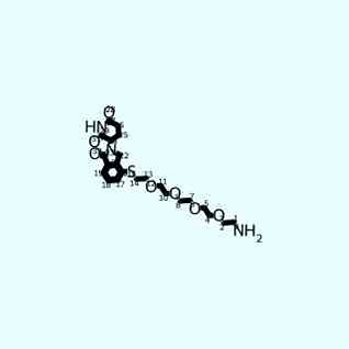 NCCOCCOCCOCCOCCSc1cccc2c1CN(C1CCC(=O)NC1=O)C2=O